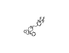 FC(F)(F)c1ccc(CCN2CCC3(CC2)COCCN3c2ccccc2)cn1